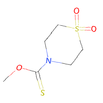 COC(=S)N1CCS(=O)(=O)CC1